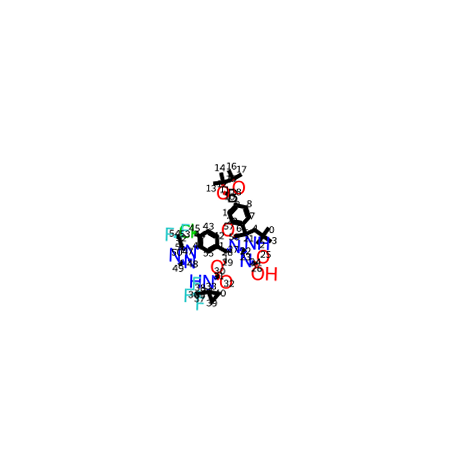 CC(C)(C)CC1(c2ccc(B3OC(C)(C)C(C)(C)O3)cc2)NC(=NC(=O)O)N([C@H](COC(=O)NC2(C(F)(F)F)CC2)c2ccc(Cl)c(-n3ncnc3C(F)F)c2)C1=O